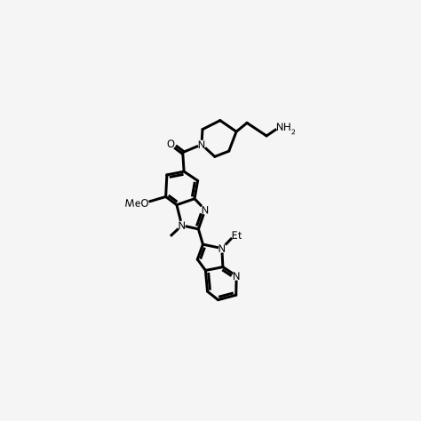 CCn1c(-c2nc3cc(C(=O)N4CCC(CCN)CC4)cc(OC)c3n2C)cc2cccnc21